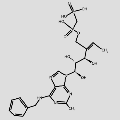 C/C=C(/COP(=O)(O)CP(=O)(O)O)[C@@H](O)[C@@H](O)[C@@H](O)n1cnc2c(NCc3ccccc3)nc(C)nc21